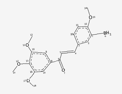 Bc1cc(/C=C/C(=O)c2cc(OC)c(OC)c(OC)c2)ccc1OC